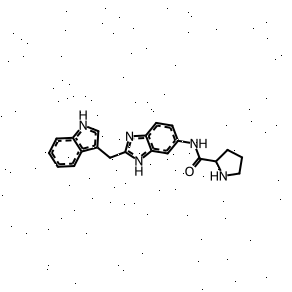 O=C(Nc1ccc2nc(Cc3c[nH]c4ccccc34)[nH]c2c1)C1CCCN1